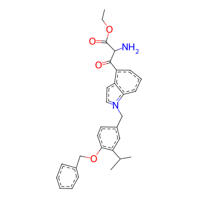 CCOC(=O)C(N)C(=O)c1cccc2c1ccn2Cc1ccc(OCc2ccccc2)c(C(C)C)c1